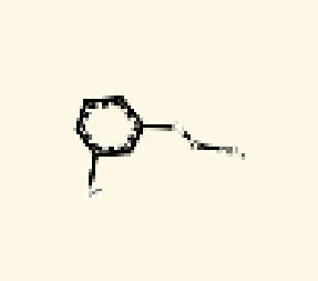 CC(C)c1cccc(OON)c1